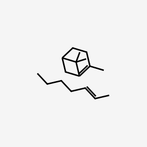 C/C=C/CCCC.CC1=C2CC(CC1)C2(C)C